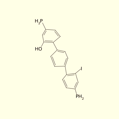 Oc1cc(P)ccc1-c1ccc(-c2ccc(P)cc2I)cc1